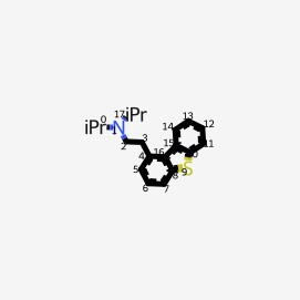 CC(C)N(CCc1cccc2sc3ccccc3c12)C(C)C